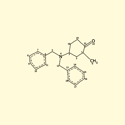 CC1CC(N(Cc2ccccc2)Cc2ccccc2)CCC1=O